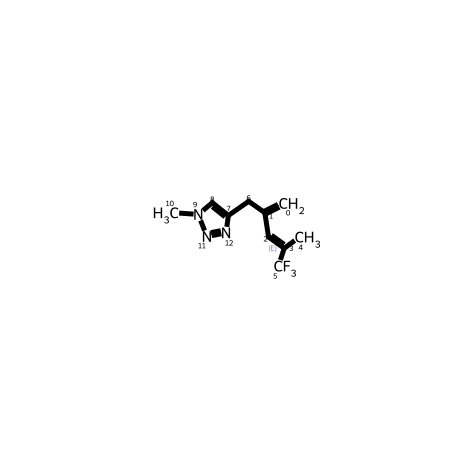 C=C(/C=C(\C)C(F)(F)F)Cc1cn(C)nn1